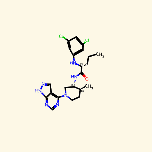 CCC[C@@H](Nc1cc(Cl)cc(Cl)c1)C(=O)N[C@H]1CN(c2ncnc3[nH]ncc23)CC[C@@H]1C